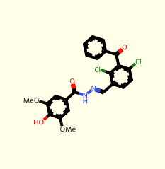 COc1cc(C(=O)N/N=C/c2ccc(Cl)c(C(=O)c3ccccc3)c2Cl)cc(OC)c1O